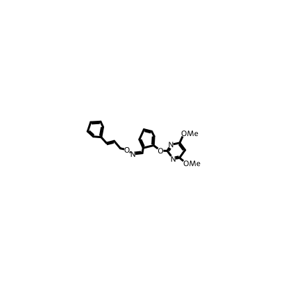 COc1cc(OC)nc(Oc2ccccc2/C=N\OC/C=C/c2ccccc2)n1